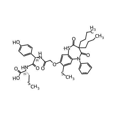 CCCCC1(CCCC)C(=O)[SH]c2cc(OCC(=O)N[C@@H](C(=O)N[C@H](CSC)C(=O)O)c3ccc(O)cc3)c(SC)cc2N(c2ccccc2)C1=O